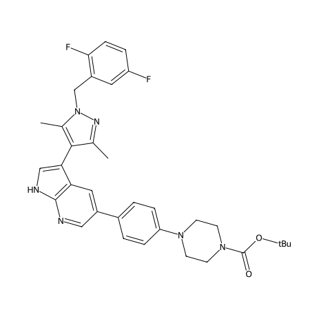 Cc1nn(Cc2cc(F)ccc2F)c(C)c1-c1c[nH]c2ncc(-c3ccc(N4CCN(C(=O)OC(C)(C)C)CC4)cc3)cc12